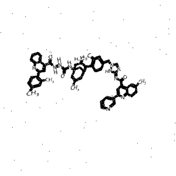 Cc1ccc(-c2cc(C(=O)NNC(=O)NC34CC(C)CC(C3)C(c3ccc(Cn5cn/c(=N\C(=O)c6cc(-c7cccnc7)nc7ccc(C)cc67)[nH]5)cc3C)C(C)C4)c3ccccc3n2)c(C)c1